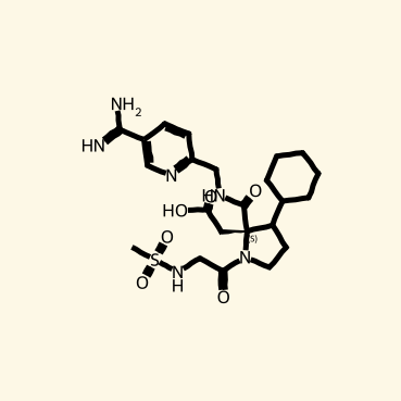 CS(=O)(=O)NCC(=O)N1CCC(C2CCCCC2)[C@@]1(CC(=O)O)C(=O)NCc1ccc(C(=N)N)cn1